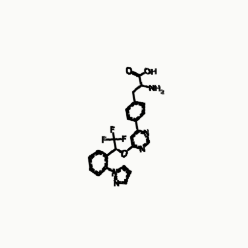 NC(Cc1ccc(-c2cc(O[C@@H](c3ccccc3-n3cccn3)C(F)(F)F)ncn2)cc1)C(=O)O